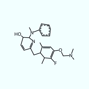 CC1=CC(OCN(C)C)=C(F)C(C)C1CC1=NC(N(C)c2ccccc2)C(O)C=C1